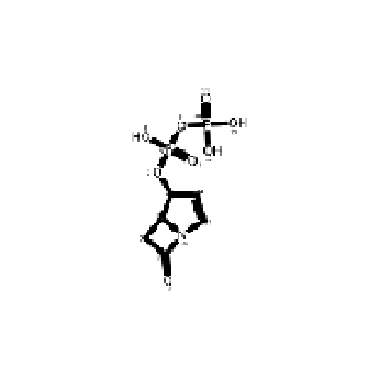 O=C1CC2C(OP(=O)(O)OP(=O)(O)O)C=CN12